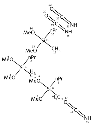 CCC[Si](C)(OC)OC.CCC[Si](C)(OC)OC.CCC[Si](C)(OC)OC.N=C=O.N=C=O.N=C=O